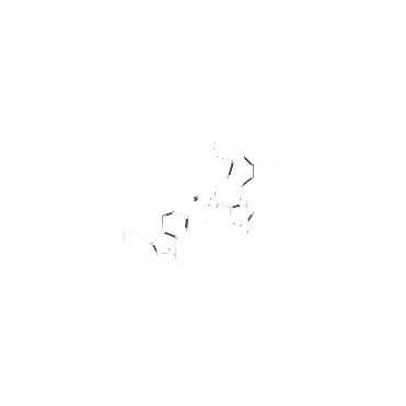 COc1ccc(CN(c2ncns2)S(=O)(=O)c2ccc3c(Br)cn(C)c3c2)c(OC)c1